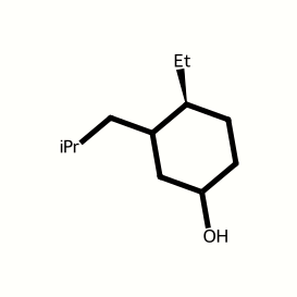 CC[C@H]1CCC(O)CC1CC(C)C